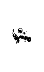 CC(=O)O.O=C(Nc1ccc(-c2nc(N3CCOCC3)c3cnn(C4CCNCC4)c3n2)cc1)Oc1ccccc1